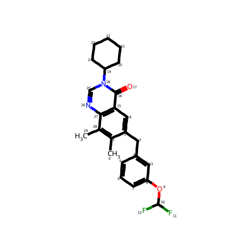 Cc1c(Cc2cccc(OC(F)F)c2)cc2c(=O)n(C3CCCCC3)cnc2c1C